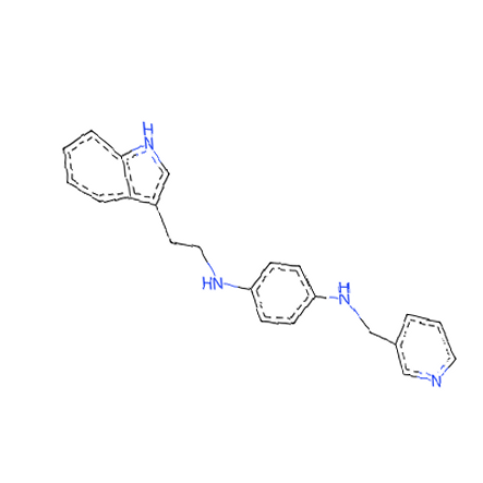 c1cncc(CNc2ccc(NCCc3c[nH]c4ccccc34)cc2)c1